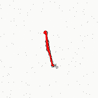 CCC(C)OCCOCCOCCOCCOCCOCCOCCOCCOCCOCCOCCCCCCCCCCOc1ccccc1